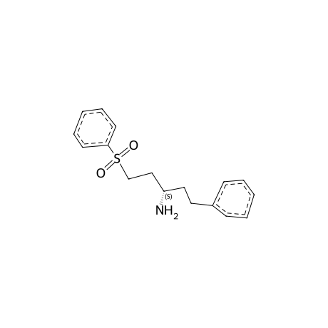 N[C@@H](CCc1ccccc1)CCS(=O)(=O)c1ccccc1